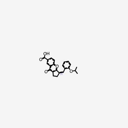 CC(C)Oc1ccccc1/C=C1/CCc2c1oc1ccc(C(=O)O)cc1c2=O